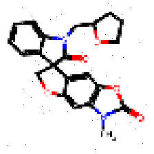 Cn1c(=O)oc2cc3c(cc21)OCC31C(=O)N(CC2CCCO2)c2ccccc21